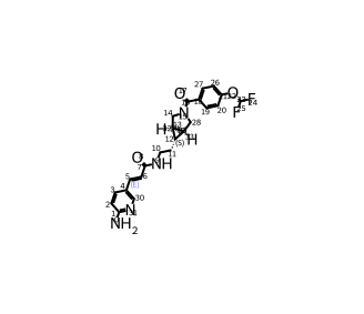 Nc1ccc(/C=C/C(=O)NCC[C@@H]2[C@H]3CN(C(=O)c4ccc(OC(F)F)cc4)C[C@@H]23)cn1